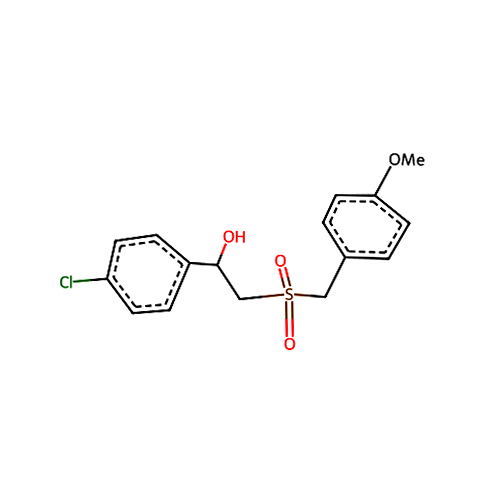 COc1ccc(CS(=O)(=O)CC(O)c2ccc(Cl)cc2)cc1